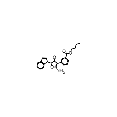 CCCCOC(=O)c1cccc(C2=C(N)OC(C3C=Cc4ccccc43)C2=O)c1